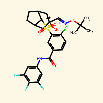 CC(C)(C)O/N=C/[C@]1(O)CC2CCC(C1)[C@H]2S(=O)(=O)c1cc(C(=O)Nc2cc(F)c(F)c(F)c2)ccc1Cl